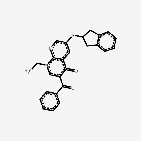 CCn1cc(C(=O)c2ccccc2)c(=O)c2cc(NC3Cc4ccccc4C3)cnc21